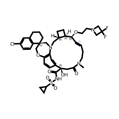 CN1CC/C=C/[C@H](OCCN2CC(F)(F)C2)[C@@H]2CC[C@H]2CN2C[C@@]3(CCCc4cc(Cl)ccc43)COc3ccc(cc32)[C@@](O)(C(=O)NS(=O)(=O)C2CC2)CC1=O